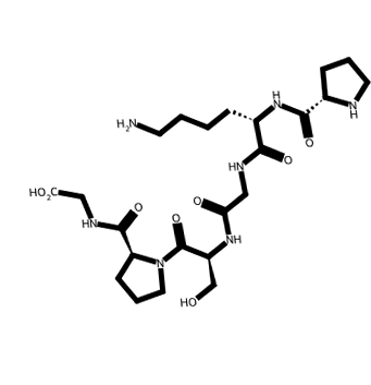 NCCCC[C@H](NC(=O)[C@@H]1CCCN1)C(=O)NCC(=O)N[C@@H](CO)C(=O)N1CCC[C@H]1C(=O)NCC(=O)O